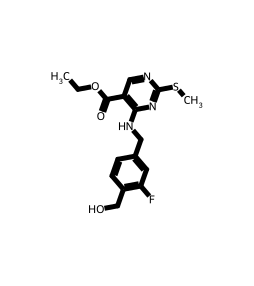 CCOC(=O)c1cnc(SC)nc1NCc1ccc(CO)c(F)c1